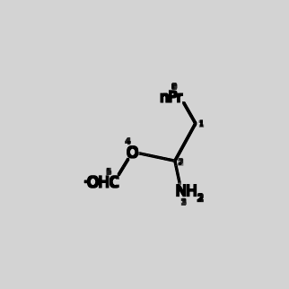 CCCCC(N)O[C]=O